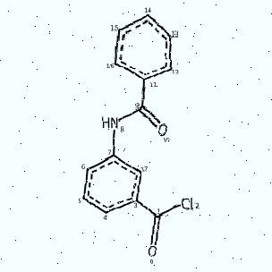 O=C(Cl)c1cccc(NC(=O)c2ccccc2)c1